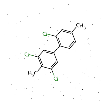 Cc1ccc(-c2cc(Cl)c(C)c(Cl)c2)c(Cl)c1